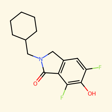 O=C1c2c(cc(F)c(O)c2F)CN1CC1CCCCC1